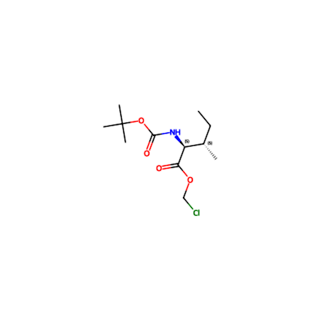 CC[C@H](C)[C@H](NC(=O)OC(C)(C)C)C(=O)OCCl